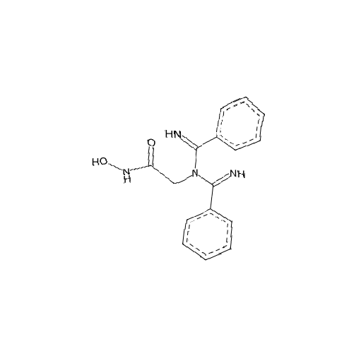 N=C(c1ccccc1)N(CC(=O)NO)C(=N)c1ccccc1